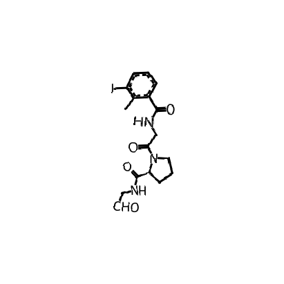 Cc1c(I)cccc1C(=O)NCC(=O)N1CCC[C@H]1C(=O)NCC=O